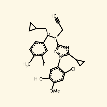 C#CCN(c1nc(C2CC2)n(-c2cc(C)c(OC)cc2Cl)n1)[C@@H](CC1CC1)c1ccc(C)c(F)c1